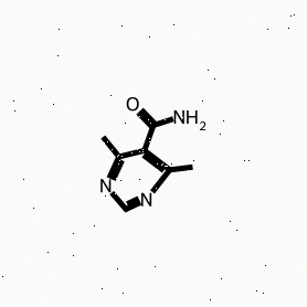 Cc1ncnc(C)c1C(N)=O